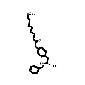 CCCCCCCCCCCCCCCCCC(=O)Oc1ccc(C[C@H](NCc2ccccc2)C(=O)O)cc1